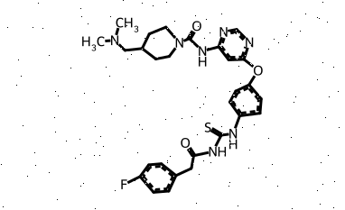 CN(C)CC1CCN(C(=O)Nc2cc(Oc3ccc(NC(=S)NC(=O)Cc4ccc(F)cc4)cc3)ncn2)CC1